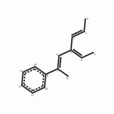 CC=CC(=CC)C=C(C)c1ccccc1